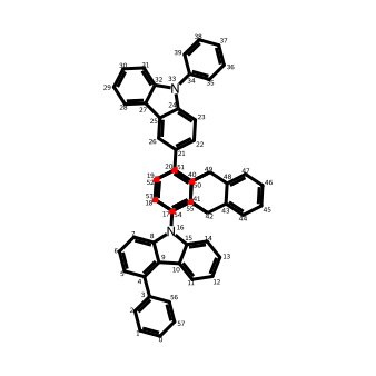 c1ccc(-c2cccc3c2c2ccccc2n3-c2ccc(-c3ccc4c(c3)c3ccccc3n4-c3ccccc3)c3c2C2c4ccccc4C3c3ccccc32)cc1